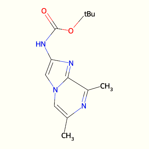 Cc1cn2cc(NC(=O)OC(C)(C)C)nc2c(C)n1